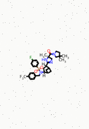 CC1(C)CCN(C(=O)[C@@]2(C)CN=C([C@H]3C[C@@H](N(Cc4ccc(C(F)(F)F)cc4)S(=O)(=O)c4ccc(F)cc4)C4CC3C4)N2)C1